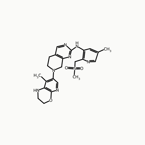 Cc1cnc(CS(C)(=O)=O)c(Nc2ncc3c(n2)CN(c2cnc4c(c2C)NCCO4)CC3)c1